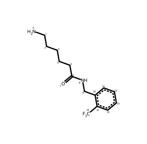 NCCCCCC(=O)NCc1ccccc1C(F)(F)F